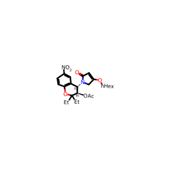 CCCCCCOC1=CC(=O)N([C@H]2c3cc([N+](=O)[O-])ccc3OC(CC)(CC)[C@@H]2OC(C)=O)C1